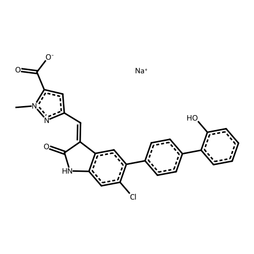 Cn1nc(C=C2C(=O)Nc3cc(Cl)c(-c4ccc(-c5ccccc5O)cc4)cc32)cc1C(=O)[O-].[Na+]